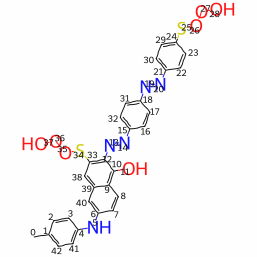 Cc1ccc(Nc2ccc3c(O)c(N=Nc4ccc(N=Nc5ccc(SOOO)cc5)cc4)c(SOOO)cc3c2)cc1